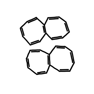 c1cccc2ccccccc=2cc1.c1cccc2ccccccc=2cc1